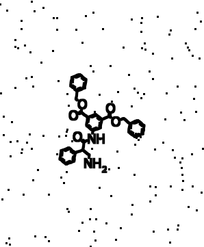 NCC(C(=O)Nc1cc(C(=O)OCc2ccccc2)cc(C(=O)OCc2ccccc2)c1)c1ccccc1